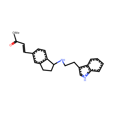 COC(=O)/C=C/c1ccc2c(c1)CCC2NCCc1c[nH]c2ccccc12